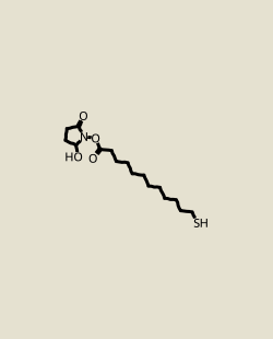 O=C(CCCCCCCCCCCS)ON1C(=O)CCC1O